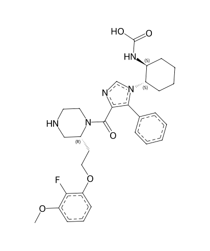 COc1cccc(OCC[C@@H]2CNCCN2C(=O)c2ncn([C@H]3CCCC[C@@H]3NC(=O)O)c2-c2ccccc2)c1F